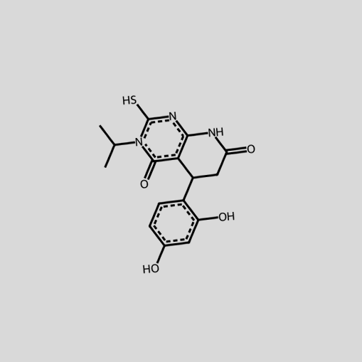 CC(C)n1c(S)nc2c(c1=O)C(c1ccc(O)cc1O)CC(=O)N2